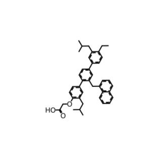 CCc1ccc(-c2ccc(-c3ccc(OCC(=O)O)c(CC(C)C)c3)c(Cc3cccc4ccccc34)c2)cc1CC(C)C